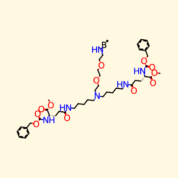 C=BNCCOCCOCCN(CCCCCNC(=O)CC[C@H](NC(=O)OCc1ccccc1)C(=O)OC)CCCCCNC(=O)CC[C@H](NC(=O)OCc1ccccc1)C(=O)OC